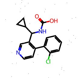 O=C(O)NC(c1cnccc1-c1ccccc1Cl)C1CC1